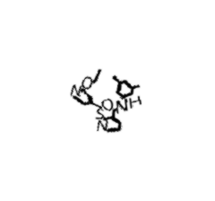 CCOc1cc(CSc2ncccc2C(=O)Nc2cc(C)cc(C)c2)ccn1